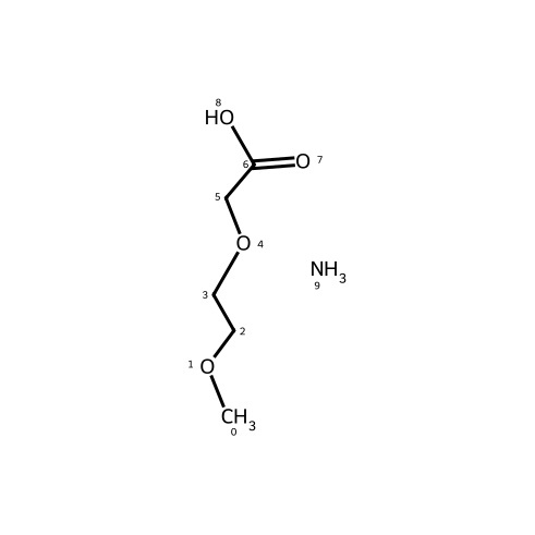 COCCOCC(=O)O.N